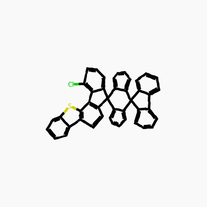 Clc1cccc2c1-c1c(ccc3c1sc1ccccc13)C21c2ccccc2C2(c3ccccc3-c3ccccc32)c2ccccc21